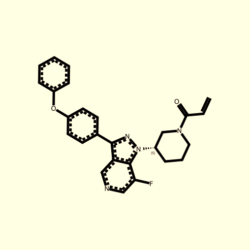 C=CC(=O)N1CCC[C@H](n2nc(-c3ccc(Oc4ccccc4)cc3)c3cncc(F)c32)C1